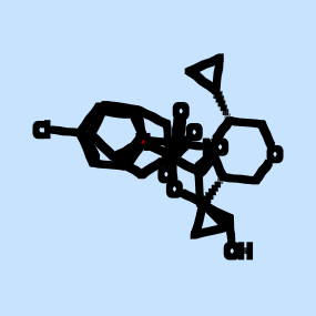 O=C(CCO)N1CC2CCC(C1)N2C(=O)OC1([C@H]2COC[C@@H](C3CC3)N2S(=O)(=O)c2ccc(Cl)cc2)CC1